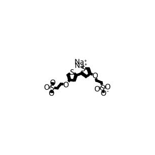 O=S(=O)([O-])CCOc1csc(-c2cc(OCCS(=O)(=O)[O-])cs2)c1.[Na+].[Na+]